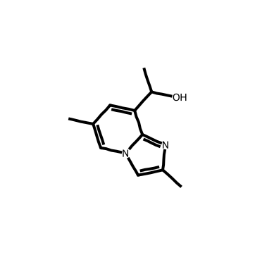 Cc1cc(C(C)O)c2nc(C)cn2c1